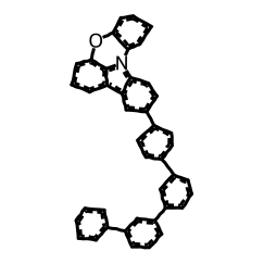 c1ccc(-c2cccc(-c3cccc(-c4ccc(-c5ccc6c(c5)c5cccc7c5n6-c5ccccc5O7)cc4)c3)c2)cc1